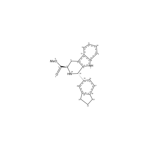 COC(=O)[C@H]1Cc2c([nH]c3ccccc23)[C@H](c2ccc3c(c2)CCC3)N1